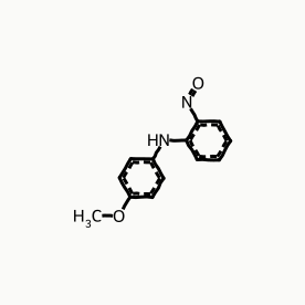 COc1ccc(Nc2ccccc2N=O)cc1